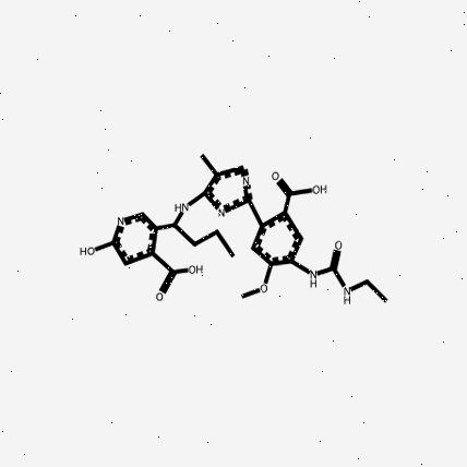 CCCC(Nc1nc(-c2cc(OC)c(NC(=O)NCC)cc2C(=O)O)ncc1C)c1cnc(O)cc1C(=O)O